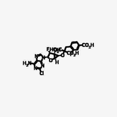 Nc1nc(Cl)nc2c1ncn2[C@@H]1O[C@@H]2[C@H](OC(Cc3ccc(C(=O)O)cc3F)(C(=O)O)C(=O)O)[C@]2(O)[C@@H]1F